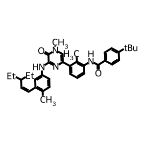 CCC(/C=C\c1cc(Nc2nc(-c3cccc(NC(=O)c4ccc(C(C)(C)C)cc4)c3C)cn(C)c2=O)ccc1C)CC